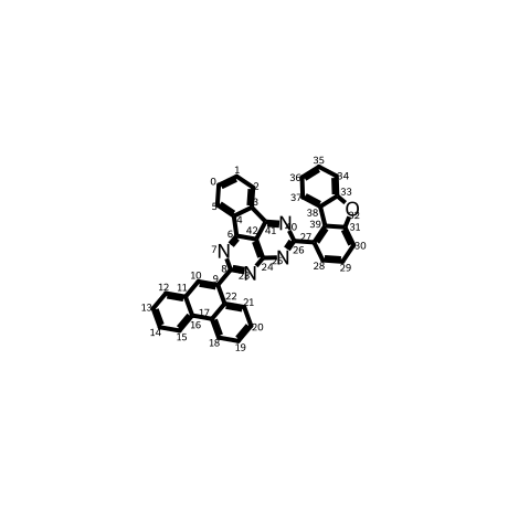 c1ccc2c(c1)-c1nc(-c3cc4ccccc4c4ccccc34)nc3nc(-c4cccc5oc6ccccc6c45)nc-2c13